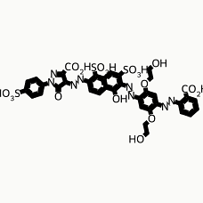 O=C(O)C1=NN(c2ccc(S(=O)(=O)O)cc2)C(=O)C1/N=N/c1ccc2c(O)c(/N=N/c3cc(OCCO)c(/N=N/c4ccccc4C(=O)O)cc3OCCO)c(S(=O)(=O)O)cc2c1S(=O)(=O)O